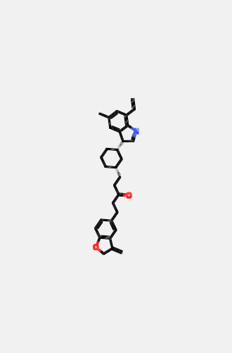 C=Cc1cc(C)cc2c1N=CC2[C@H]1CCC[C@@H](CCC(=O)CCc2ccc3c(c2)C(=C)CO3)C1